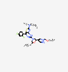 COCn1cc(C2CN(c3nc(-c4ccc(F)cc4F)c4sc(N(C)C)nc4n3)CC(C)O2)cn1